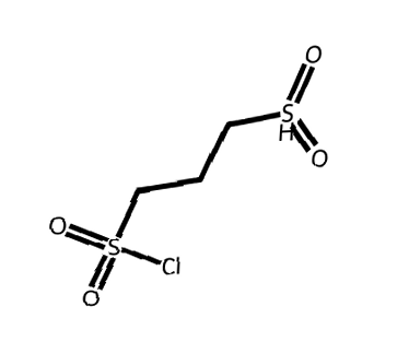 O=[SH](=O)CCCS(=O)(=O)Cl